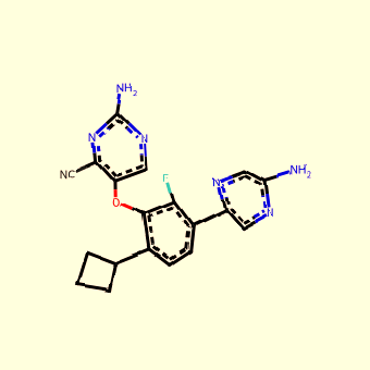 N#Cc1nc(N)ncc1Oc1c(C2CCC2)ccc(-c2cnc(N)cn2)c1F